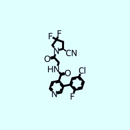 N#C[C@@H]1CC(F)(F)CN1C(=O)CNC(=O)c1ccncc1-c1cc(Cl)ccc1F